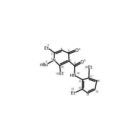 CCCCn1c(CC)cc(=O)c(C(=O)Nc2c(CC)cccc2CC)c1CC